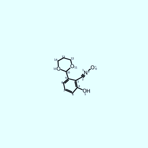 [O-][N+]#Cc1c(O)cccc1C1OCCCO1